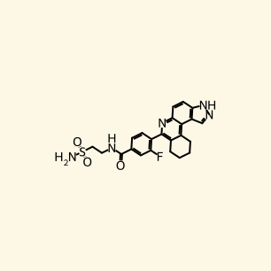 NS(=O)(=O)CCNC(=O)c1ccc(-c2nc3ccc4[nH]ncc4c3c3c2CCCC3)c(F)c1